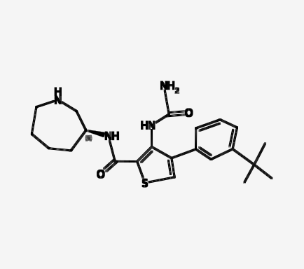 CC(C)(C)c1cccc(-c2csc(C(=O)N[C@H]3CCCCNC3)c2NC(N)=O)c1